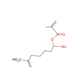 C=C(C)C(=O)OC(O)CCCCC(=C)C(=O)O